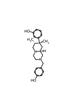 C[C@H]1CN2CCN(Cc3ccc(O)cc3)C[C@H]2C[C@@]1(C)c1cccc(O)c1